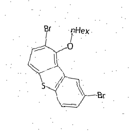 CCCCCCOc1c(Br)ccc2sc3ccc(Br)cc3c12